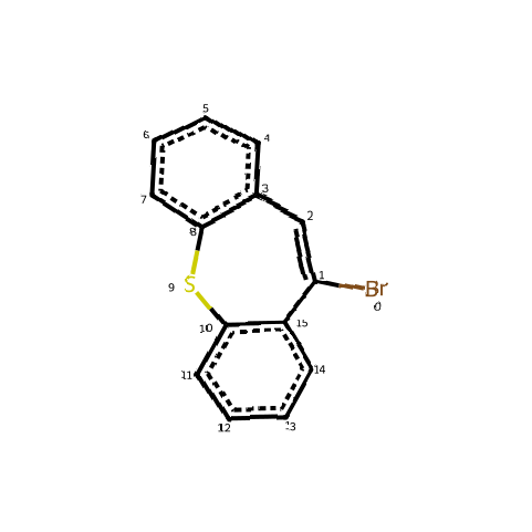 BrC1=Cc2ccccc2Sc2ccccc21